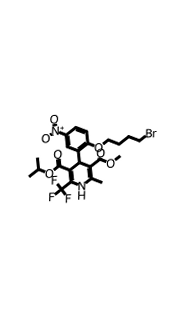 COC(=O)C1=C(C)NC(C(F)(F)F)=C(C(=O)OC(C)C)C1c1cc([N+](=O)[O-])ccc1OCCCCBr